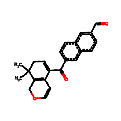 CC1(C)CC=C(C(=O)c2ccc3cc(C=O)ccc3c2)C2=C1COC=C2